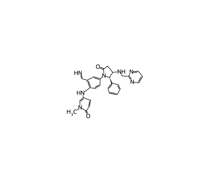 Cn1cc(Nc2ccc(N3C(=O)CC(NCc4ncccn4)[C@H]3c3ccccc3)cc2C=N)ccc1=O